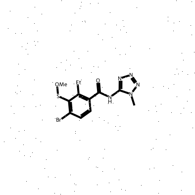 CCc1c(C(=O)Nc2nnnn2C)ccc(Br)c1SOC